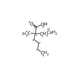 CCCCC(C)(C)C(=O)O.[CaH2]